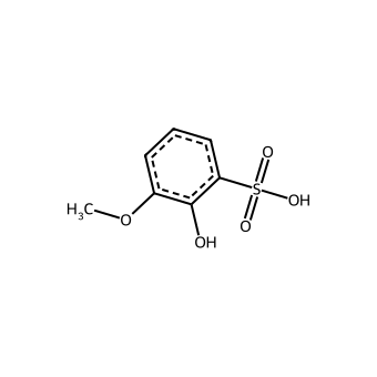 COc1cccc(S(=O)(=O)O)c1O